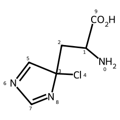 NC(CC1(Cl)C=NC=N1)C(=O)O